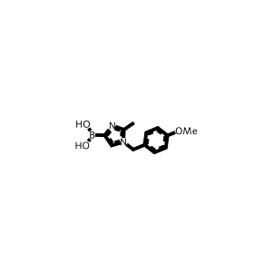 COc1ccc(Cn2cc(B(O)O)nc2C)cc1